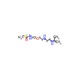 CSC(=O)NCCOCCNCCNC(C)C